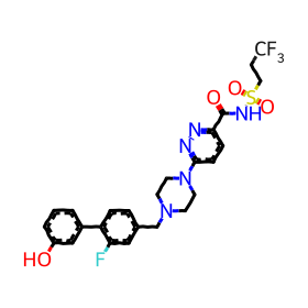 O=C(NS(=O)(=O)CCC(F)(F)F)c1ccc(N2CCN(Cc3ccc(-c4cccc(O)c4)c(F)c3)CC2)nn1